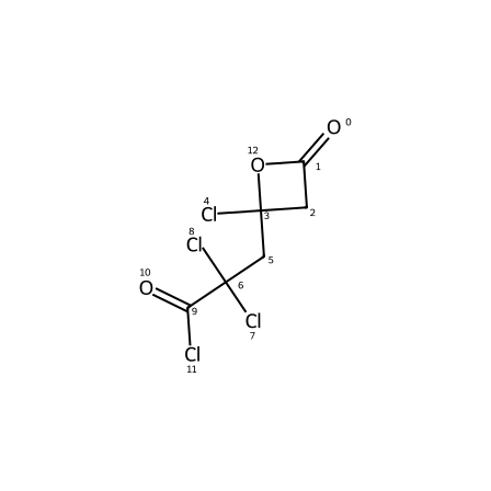 O=C1CC(Cl)(CC(Cl)(Cl)C(=O)Cl)O1